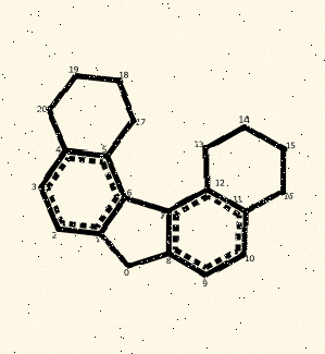 [CH]1c2ccc3c(c2-c2c1ccc1c2CCCC1)CCCC3